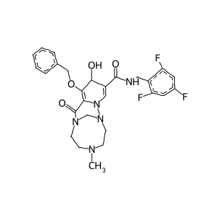 CN1CCN2CN(CC1)N1C=C(C(=O)NCc3c(F)cc(F)cc3F)C(O)C(OCc3ccccc3)=C1C2=O